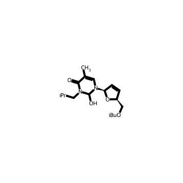 CC1=CN([C@H]2C=C[C@@H](COCC(C)C)O2)C(O)N(CC(C)C)C1=O